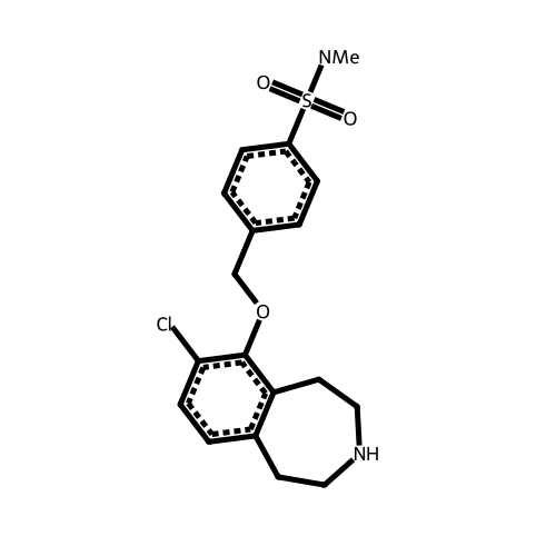 CNS(=O)(=O)c1ccc(COc2c(Cl)ccc3c2CCNCC3)cc1